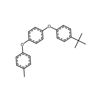 Cc1ccc(Oc2ccc(Oc3ccc(C(C)(C)C)cc3)cc2)cc1